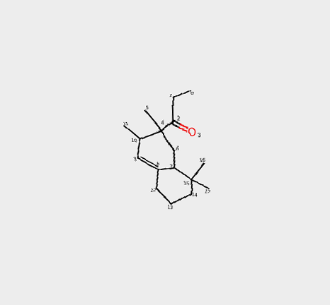 CCC(=O)C1(C)CC2C(=CC1C)CCCC2(C)C